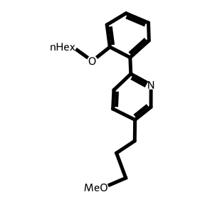 CCCCCCOc1ccccc1-c1ccc(CCCOC)cn1